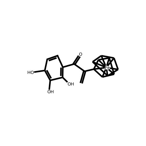 C=C(C(=O)c1ccc(O)c(O)c1O)[C]12[CH]3[CH]4[CH]5[CH]1[Fe]45321678[CH]2[CH]1[CH]6[CH]7[CH]28